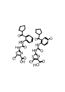 O=C(Nc1nc(C(=O)O)c(Cl)s1)Nc1ccc(Cl)cc1C(=O)C1CCCC1.O=C(Nc1nc(C(=O)O)c(Cl)s1)Nc1ccccc1C(=O)C1CCCC1